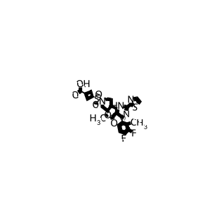 COC(=O)C1=C(C2CCN(S(=O)(=O)[C@H]3C[C@H](C(=O)O)C3)CC2)NC(c2nccs2)=N[C@H]1c1ccc(F)c(F)c1C